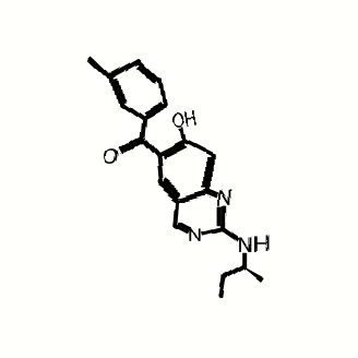 CC[C@H](C)Nc1ncc2cc(C(=O)c3cccc(C)c3)c(O)cc2n1